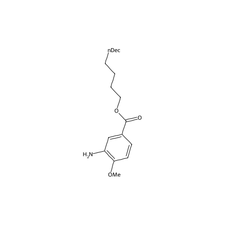 CCCCCCCCCCCCCCOC(=O)c1ccc(OC)c(N)c1